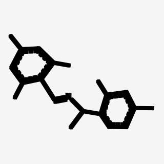 Cc1ccc(C(C)N=Cc2c(C)cc(C)cc2C)c(C)c1